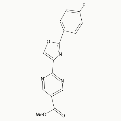 COC(=O)c1cnc(-c2coc(-c3ccc(F)cc3)n2)nc1